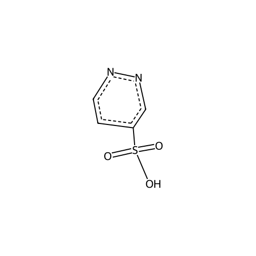 O=S(=O)(O)c1ccnnc1